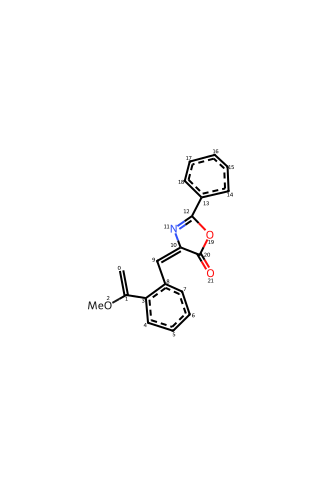 C=C(OC)c1ccccc1/C=C1/N=C(c2ccccc2)OC1=O